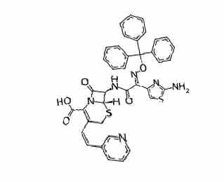 Nc1nc(C(=NOC(c2ccccc2)(c2ccccc2)c2ccccc2)C(=O)N[C@@H]2C(=O)N3C(C(=O)O)=C(/C=C\c4cccnc4)CS[C@@H]23)cs1